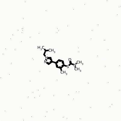 Cc1cc(-c2cnn(CC(C)C)c2)ccc1SC(=O)N(C)C